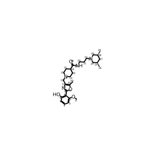 COc1cccc(O)c1-c1nc(CN2CCC(C(=O)NCCCN3C[C@H](C)C[C@H](C)C3)CC2)c(C)o1